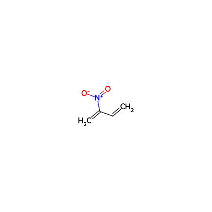 C=CC(=C)[N+](=O)[O-]